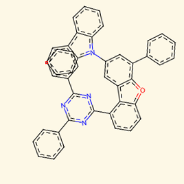 c1ccc(-c2nc(-c3ccccc3)nc(-c3cccc4oc5c(-c6ccccc6)cc(-n6c7ccccc7c7ccccc76)cc5c34)n2)cc1